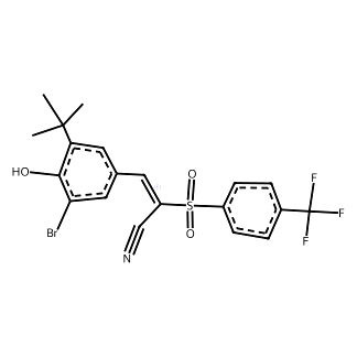 CC(C)(C)c1cc(/C=C(\C#N)S(=O)(=O)c2ccc(C(F)(F)F)cc2)cc(Br)c1O